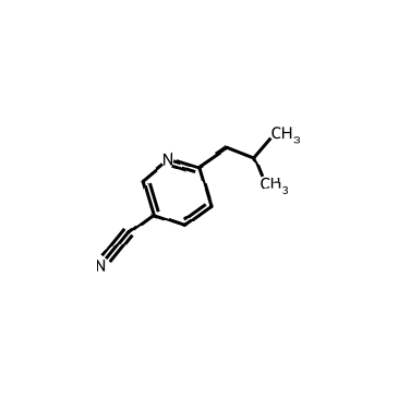 CC(C)Cc1ccc(C#N)cn1